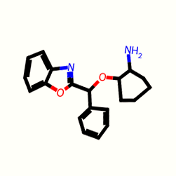 NC1CCCCC1OC(c1ccccc1)c1nc2ccccc2o1